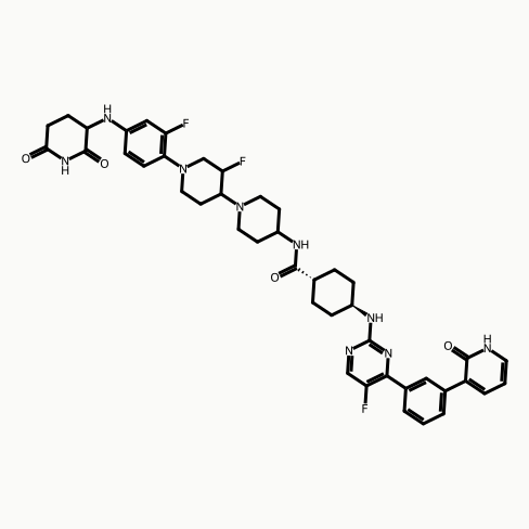 O=C1CCC(Nc2ccc(N3CCC(N4CCC(NC(=O)[C@H]5CC[C@H](Nc6ncc(F)c(-c7cccc(-c8ccc[nH]c8=O)c7)n6)CC5)CC4)C(F)C3)c(F)c2)C(=O)N1